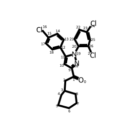 O=C(CC1CCCCC1)c1cc(-c2ccc(Cl)cc2)n(-c2ccc(Cl)cc2Cl)n1